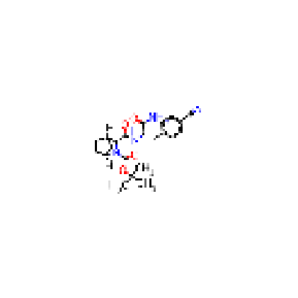 CC(C)(C)OC(=O)N1[C@@H]2CC[C@@H](C2)[C@H]1C(=O)N[C@@H](Cc1ccc(C#N)cc1)C(N)=O